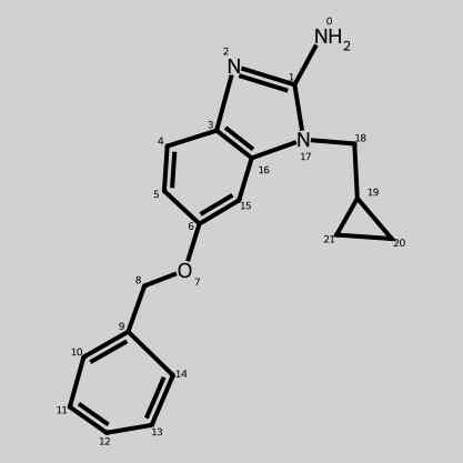 Nc1nc2ccc(OCc3ccccc3)cc2n1CC1CC1